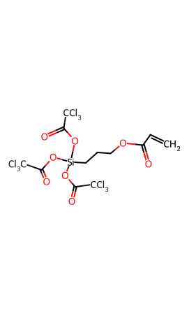 C=CC(=O)OCCC[Si](OC(=O)C(Cl)(Cl)Cl)(OC(=O)C(Cl)(Cl)Cl)OC(=O)C(Cl)(Cl)Cl